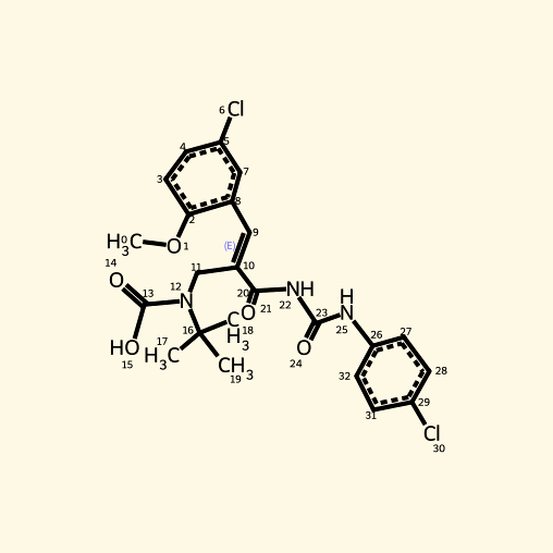 COc1ccc(Cl)cc1/C=C(\CN(C(=O)O)C(C)(C)C)C(=O)NC(=O)Nc1ccc(Cl)cc1